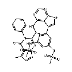 Cc1ccn2nc([C@H](C)Nc3ncnc4[nH]cc(-c5cc(NS(C)(=O)=O)cc(OS(C)(=O)=O)c5)c34)n(-c3ccccc3)c(=O)c12